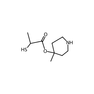 CC(S)C(=O)OC1(C)CCNCC1